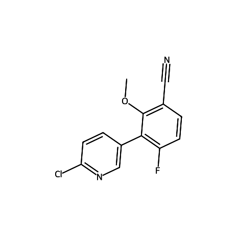 COc1c(C#N)ccc(F)c1-c1ccc(Cl)nc1